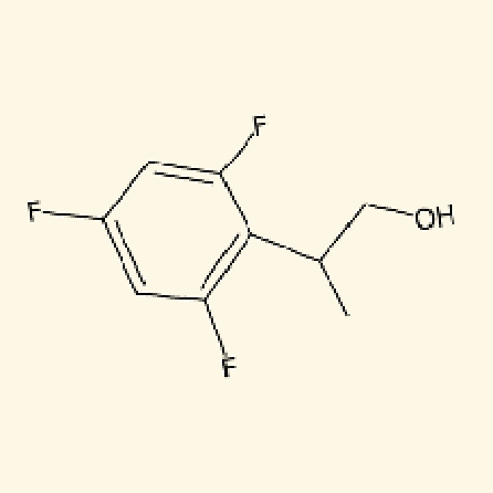 CC(CO)c1c(F)cc(F)cc1F